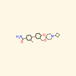 Cc1cc(C(N)=O)ccc1-c1ccc2c(c1)COC1(CCN(C3CCC3)CC1)O2